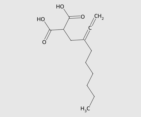 C=C=C(CCCCCC)CC(C(=O)O)C(=O)O